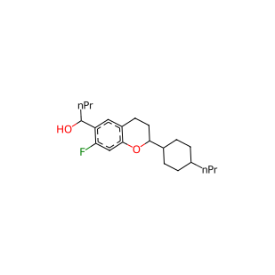 CCCC1CCC(C2CCc3cc(C(O)CCC)c(F)cc3O2)CC1